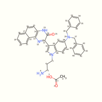 CC(=O)O.NCCCn1cc(-c2nc3c(ccc4ccccc43)[nH]c2=O)c2cc(N(Cc3ccccc3)Cc3ccccc3)ccc21